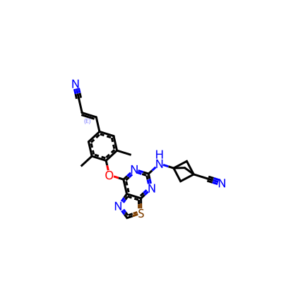 Cc1cc(/C=C/C#N)cc(C)c1Oc1nc(NC23CC(C#N)(C2)C3)nc2scnc12